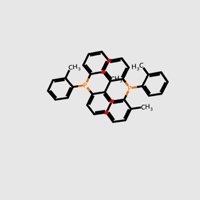 Cc1ccccc1P(c1ccccc1C)c1ccccc1-c1ccccc1P(c1ccccc1C)c1ccccc1C